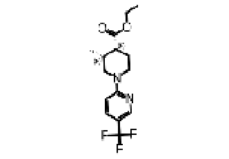 CCOC(=O)[C@@H]1CCN(c2ccc(C(F)(F)F)cn2)C[C@@H]1C